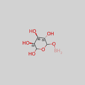 BOC1OC(O)[C@@H](O)[C@@H](O)[C@@H]1O